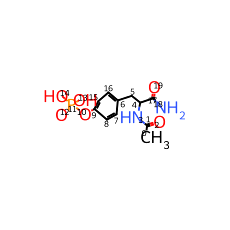 CC(=O)NC(Cc1ccc(OP(=O)(O)O)cc1)C(N)=O